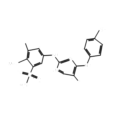 COc1c(C)cc(Nc2ncc(F)c(Nc3ccc(C(C)(C)C)cc3)n2)cc1S(N)(=O)=O